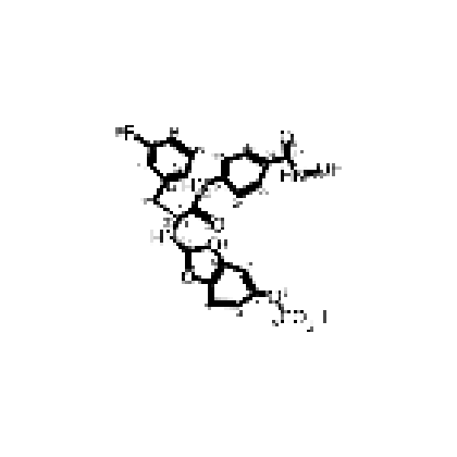 O=C(O)Oc1ccc2c(c1)OC(N[C@@H](Cc1cccc(F)c1)C(=O)Nc1ccc(C(=O)NO)cc1)O2